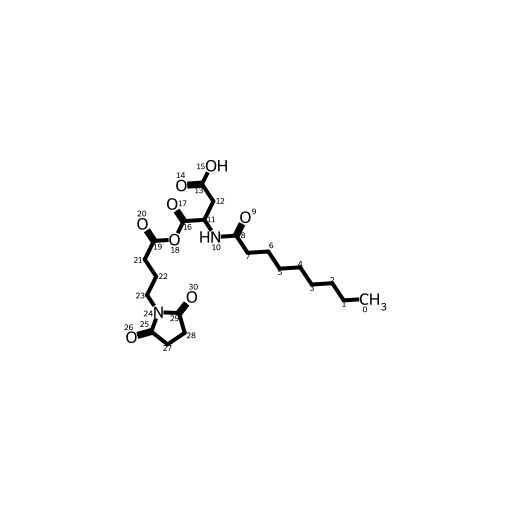 CCCCCCCCC(=O)NC(CC(=O)O)C(=O)OC(=O)CCCN1C(=O)CCC1=O